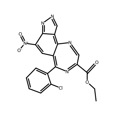 CCOC(=O)c1cnc2c(cc([N+](=O)[O-])c3nncc32)c(-c2ccccc2Cl)n1